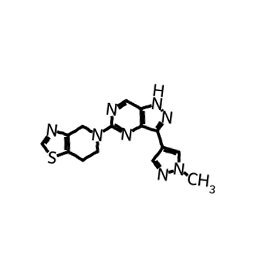 Cn1cc(-c2n[nH]c3cnc(N4CCc5scnc5C4)nc23)cn1